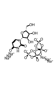 O=P([O-])([O-])OP(=O)([O-])OP(=O)([O-])OP(=O)([O-])[O-].O=c1ccn([C@@H]2O[C@H](CO)[C@@H](O)[C@H]2O)c(=O)[nH]1.[Na+].[Na+].[Na+].[Na+].[Na+].[Na+]